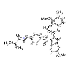 COc1ccc2c(c1)nc([S+]([O-])Cc1ncc(C)c(OC)c1C)n2S(=O)(=O)c1ccc(/C=C/C(=O)N(C)C)cc1